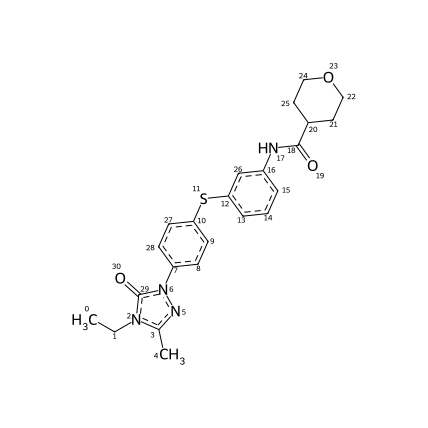 CCn1c(C)nn(-c2ccc(Sc3cccc(NC(=O)C4CCOCC4)c3)cc2)c1=O